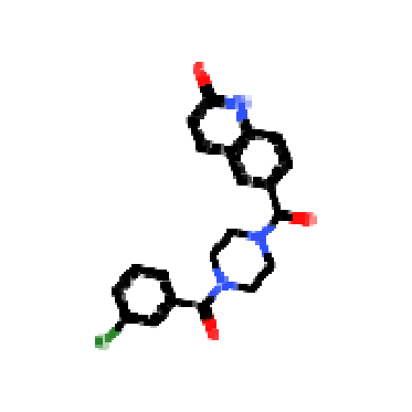 O=C(c1cccc(Cl)c1)N1CCN(C(=O)c2ccc3[nH]c(=O)ccc3c2)CC1